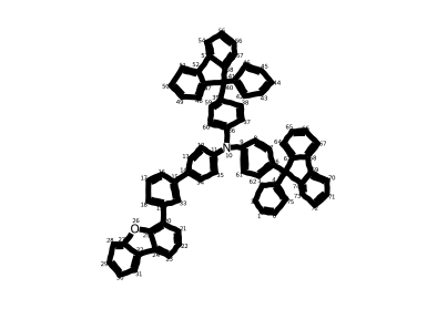 C1=CCCC(C2(c3ccc(N(c4ccc(-c5cccc(-c6cccc7c6oc6ccccc67)c5)cc4)c4ccc(C5(c6ccccc6)c6ccccc6-c6ccccc65)cc4)cc3)c3ccccc3-c3ccccc32)=C1